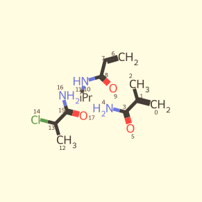 C=C(C)C(N)=O.C=CC(=O)NC(C)C.CC(Cl)C(N)=O